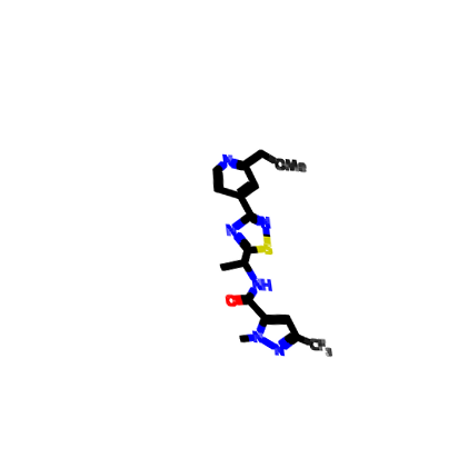 COCc1cc(-c2nsc(C(C)NC(=O)c3cc(C(F)(F)F)nn3C)n2)ccn1